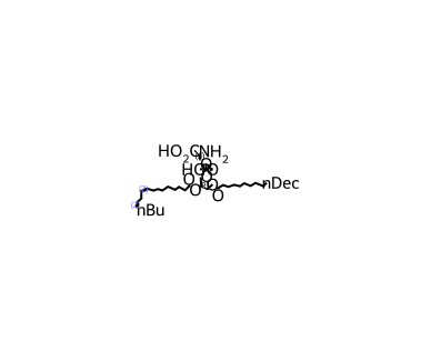 CCCC/C=C\C/C=C\CCCCCCCC(=O)O[C@H](COC(=O)CCCCCCCCCCCCCCCCCC)COP(=O)(O)OC[C@H](N)C(=O)O